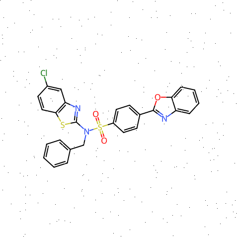 O=S(=O)(c1ccc(-c2nc3ccccc3o2)cc1)N(Cc1ccccc1)c1nc2cc(Cl)ccc2s1